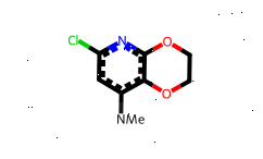 CNc1cc(Cl)nc2c1O[CH]CO2